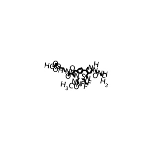 CCNC(=O)Nc1cc(-c2nc(C(F)(F)F)cs2)c(-c2ccc3c(=O)c(C(=O)NCCCOP(=O)(O)O)cn(Cc4noc(C)n4)c3c2)cn1